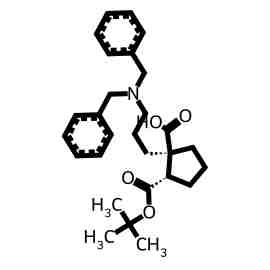 CC(C)(C)OC(=O)[C@H]1CCC[C@]1(CCCN(Cc1ccccc1)Cc1ccccc1)C(=O)O